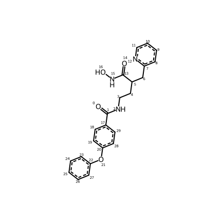 O=C(NCCC(Cc1ccccn1)C(=O)NO)c1ccc(Oc2ccccc2)cc1